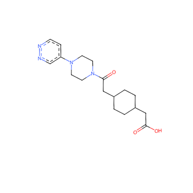 O=C(O)CC1CCC(CC(=O)N2CCN(c3ccnnc3)CC2)CC1